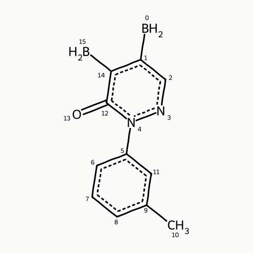 Bc1cnn(-c2cccc(C)c2)c(=O)c1B